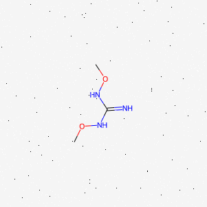 CONC(=N)NOC